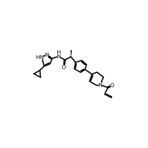 C=CC(=O)N1CC=C(c2ccc([C@H](C)C(=O)Nc3cc(C4CC4)[nH]n3)cc2)CC1